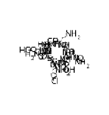 C[C@@H](O)[C@@H]1NC(=O)[C@H](CCCCCN)NC(=O)[C@@H](Cc2ccc(CNC(N)=O)cc2)NC(=O)[C@H](Cc2ccc(O)cc2)NC(=O)[C@H](NC(=O)[C@@H](N)Cc2ccc(Cl)cc2)CSSC[C@@H](C(=O)N[C@H](Cc2ccc(O)cc2)C(N)=O)NC1=O